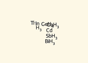 [BiH3].[Cd].[GaH3].[GeH4].[InH3].[SbH3].[Tl]